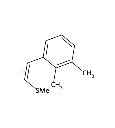 CS/C=C\c1cccc(C)c1C